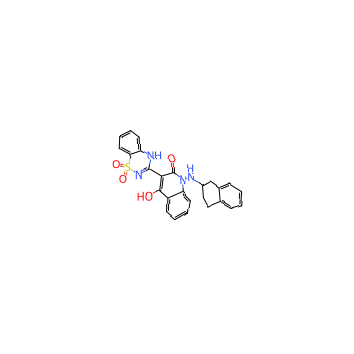 O=c1c(C2=NS(=O)(=O)c3ccccc3N2)c(O)c2ccccc2n1NC1CCc2ccccc2C1